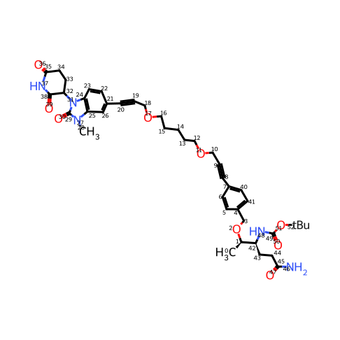 C[C@@H](OCc1ccc(C#CCOCCCCCOCC#Cc2ccc3c(c2)n(C)c(=O)n3C2CCC(=O)NC2=O)cc1)[C@H](CCC(N)=O)NC(=O)OC(C)(C)C